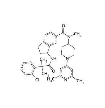 Cc1cc(N2CCC(N(C)C(=O)c3ccc4c(c3)C(NC(=O)C(C)(C)c3ccccc3Cl)CC4)CC2)cc(C)n1